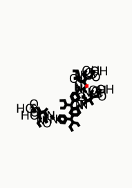 CCC(CC)C(c1ccc(/N=N/c2c(C)c(CS(=O)(=O)O)c(O)n(CC)c2=O)cc1)c1ccc(/N=N/c2c(C)c(CS(=O)(=O)O)c(O)n(CC)c2=O)c(C(c2ccc(/N=N/c3c(C)c(CS(=O)(=O)O)c(O)n(CC)c3=O)cc2)C(CC)CC)c1